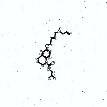 C=CCN(C)C/C=C/COc1ccc2c(c1)CCCN2C(=O)OCC(C)C